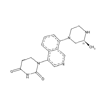 C[C@H]1CN(c2cccc3c(N4CCC(=O)NC4=O)cncc23)CCN1